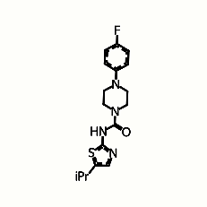 CC(C)c1cnc(NC(=O)N2CCN(c3ccc(F)cc3)CC2)s1